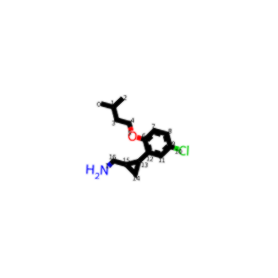 CC(C)CCOc1ccc(Cl)cc1C1CC1CN